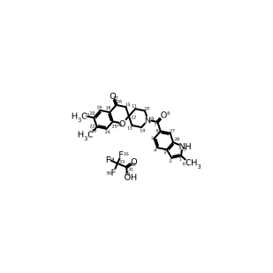 Cc1cc2ccc(C(=O)N3CCC4(CC3)CC(=O)c3cc(C)c(C)cc3O4)cc2[nH]1.O=C(O)C(F)(F)F